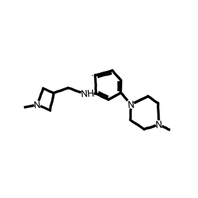 CN1CCN(c2cc[c]c(NCC3CN(C)C3)c2)CC1